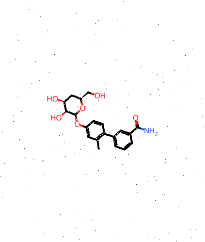 Cc1cc(OC2O[C@H](CO)C[C@H](O)[C@@H]2O)ccc1-c1cccc(C(N)=O)c1